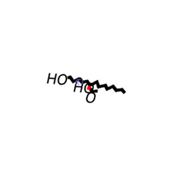 CC(=O)O.CCCCCCCCCC/C=C/CCO